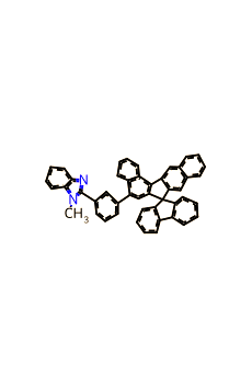 Cn1c(-c2cccc(-c3cc4c(c5ccccc35)-c3cc5ccccc5cc3C43c4ccccc4-c4ccccc43)c2)nc2ccccc21